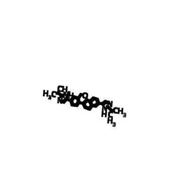 CC(C)c1ncc(-c2ccc3c(c2)COc2c-3ccc3cc(-c4cnc(C(C)C)[nH]4)ccc23)[nH]1